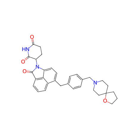 O=C1CCC(N2C(=O)c3cccc4c(Cc5ccc(CN6CCC7(CCCO7)CC6)cc5)ccc2c34)C(=O)N1